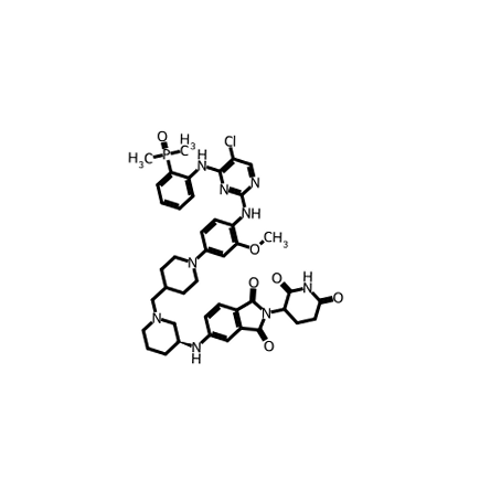 COc1cc(N2CCC(CN3CCC[C@H](Nc4ccc5c(c4)C(=O)N(C4CCC(=O)NC4=O)C5=O)C3)CC2)ccc1Nc1ncc(Cl)c(Nc2ccccc2P(C)(C)=O)n1